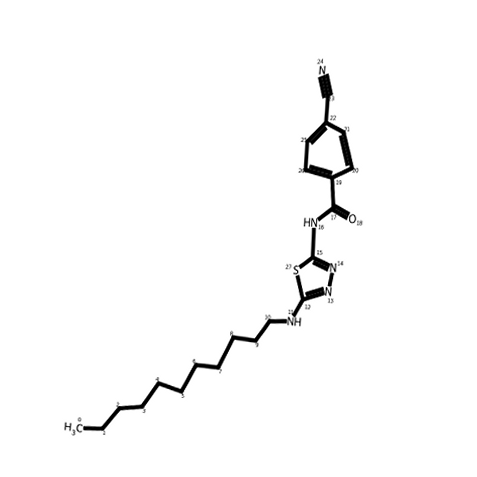 CCCCCCCCCCCNc1nnc(NC(=O)c2ccc(C#N)cc2)s1